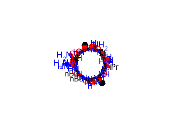 CCCC[C@H]1C(=O)N(C)[C@@H](CCCC)C(=O)N[C@@H](CCCNC(=N)N)C(=O)N[C@H](C(=O)NCC(N)=O)CSCC(=O)N[C@@H](Cc2ccccc2)C(=O)N(C)[C@@H](C)C(=O)N[C@@H](CC(N)=O)C(=O)N2CCC[C@H]2C(=O)N[C@@H](Cc2cnc[nH]2)C(=O)N[C@@H](CCC(C)C)C(=O)N(C)CC(=O)N[C@@H](Cc2c[nH]c3ccccc23)C(=O)N[C@@H](CO)C(=O)N[C@@H]([C@@H](C)CC)C(=O)N1C